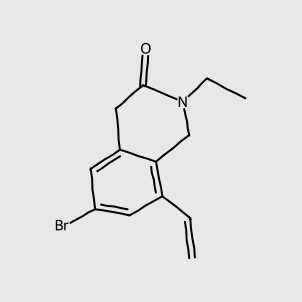 C=Cc1cc(Br)cc2c1CN(CC)C(=O)C2